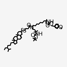 CCC(CCCC1CCC2C3CC=C4CC(SSCCC(=O)N(CCCCCCCC(C)(C)NC(=O)OCc5ccc(OC)cc5)CCC(C)(C)NC(=O)OC(C)(C)C)CCC4(C)C3CCC12C)C(C)C